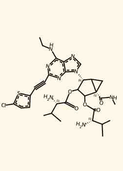 CCNc1nc(C#Cc2ccc(Cl)s2)nc2c1ncn2[C@H]1C(OC(=O)[C@@H](N)C(C)C)C(OC(=O)[C@@H](N)C(C)C)[C@]2(C(=O)NC)CC12